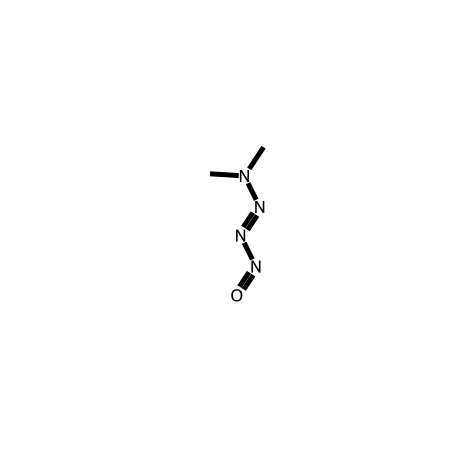 CN(C)N=NN=O